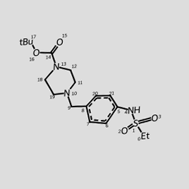 CCS(=O)(=O)Nc1ccc(CN2CCN(C(=O)OC(C)(C)C)CC2)cc1